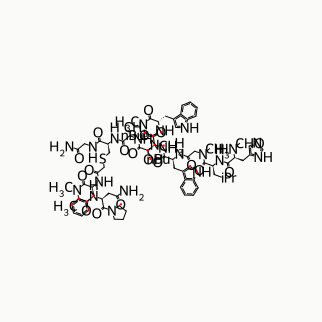 CCCC[C@@H](C(=O)N(C)[C@@H](CCCC)C(=O)N[C@@H](C)C(=O)N[C@@H](CSCC(=O)N[C@@H](Cc1ccccc1)C(=O)N(C)[C@@H](C)C(=O)N[C@@H](CC(N)=O)C(=O)N1CCCC1)C(=O)NCC(N)=O)N(C)C(=O)[C@H](Cc1c[nH]c2ccccc12)NC(=O)[C@H](CO)NC(=O)[C@H](Cc1c[nH]c2ccccc12)NC(=O)CN(C)C(=O)[C@H](CC(C)C)NC(=O)[C@H](Cc1cnc[nH]1)NC=O